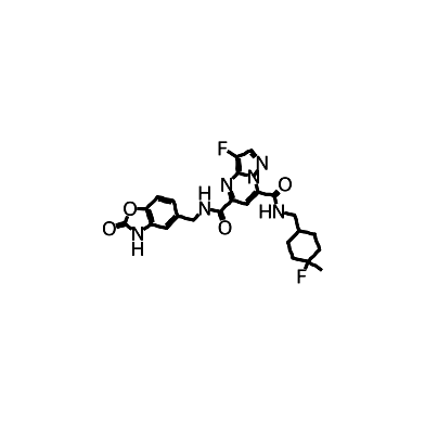 CC1(F)CCC(CNC(=O)c2cc(C(=O)NCc3ccc4oc(=O)[nH]c4c3)nc3c(F)cnn23)CC1